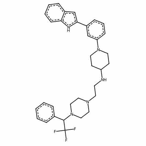 FC(F)(F)C(c1ccccc1)N1CCN(CCNC2CCN(c3cccc(-c4cc5ccccc5[nH]4)c3)CC2)CC1